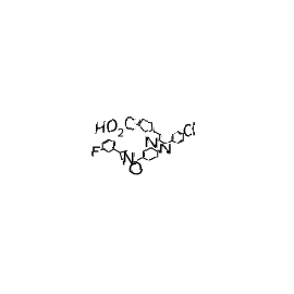 O=C(O)C1CCC(Cc2nc3cc(C(=O)N4CC(c5cccc(F)c5)C4)ccc3nc2-c2ccc(Cl)cc2)C1